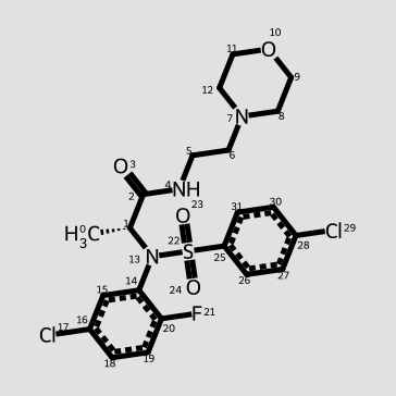 C[C@H](C(=O)NCCN1CCOCC1)N(c1cc(Cl)ccc1F)S(=O)(=O)c1ccc(Cl)cc1